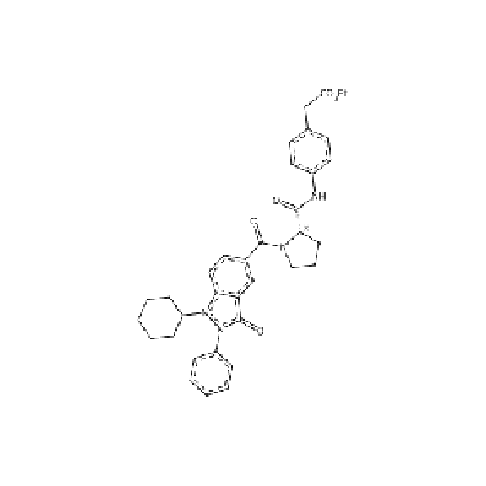 CCOC(=O)Cc1ccc(NC(=O)[C@@H]2CCCN2C(=O)c2ccc3c(c2)c(=O)n(-c2ccccc2)n3C2CCCCC2)cc1